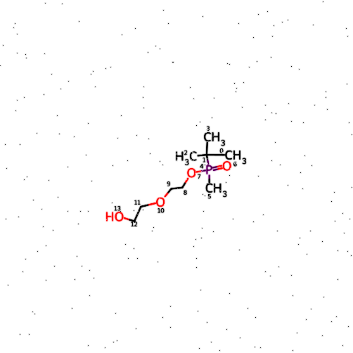 CC(C)(C)P(C)(=O)OCCOCCO